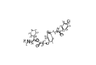 CC(C)(Oc1ccc(CCNC(=O)c2ccc(Cl)cc2)cc1)C(=O)OC(CN)C1CCCCC1